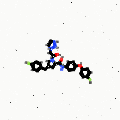 O=C(Nc1ccc(Oc2ccc(F)cc2)cc1)C1CC(Cc2ccc(F)cc2)CN1C(=O)Cn1ccnn1